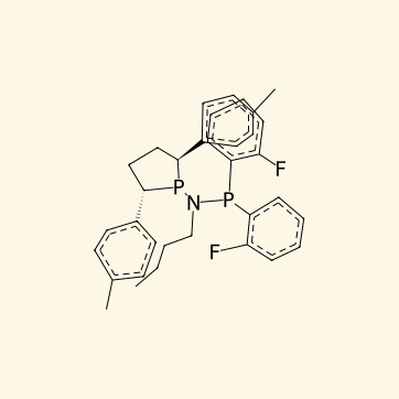 CCCCN(P(c1ccccc1F)c1ccccc1F)P1[C@H](c2ccc(C)cc2)CC[C@H]1c1ccc(C)cc1